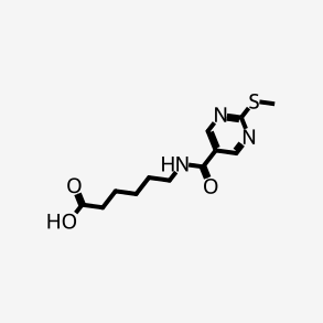 CSc1ncc(C(=O)NCCCCCC(=O)O)cn1